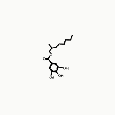 CCCCCCC(C)COC(=O)c1cc(O)c(O)c(O)c1